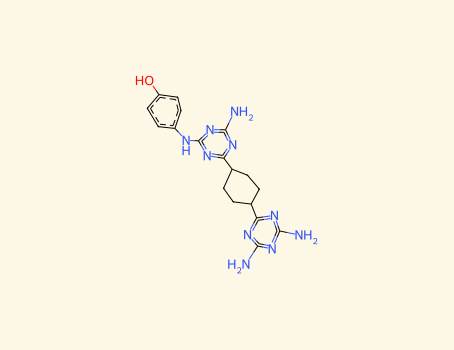 Nc1nc(N)nc(C2CCC(c3nc(N)nc(Nc4ccc(O)cc4)n3)CC2)n1